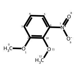 COc1cccc([N+](=O)[O-])c1OC